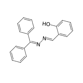 Oc1ccccc1/C=N/N=C(c1ccccc1)c1ccccc1